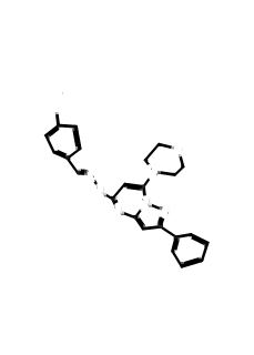 COc1ccc(C=NNc2cc(N3CCOCC3)n3nc(-c4ccccc4)cc3n2)cc1